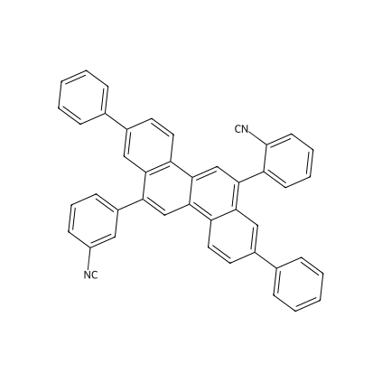 [C-]#[N+]c1cccc(-c2cc3c4ccc(-c5ccccc5)cc4c(-c4ccccc4[N+]#[C-])cc3c3ccc(-c4ccccc4)cc23)c1